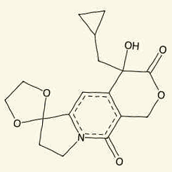 O=C1OCc2c(cc3n(c2=O)CCC32OCCO2)C1(O)CC1CC1